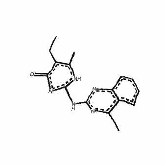 CCc1c(C)[nH]c(Nc2nc(C)c3ccccc3n2)nc1=O